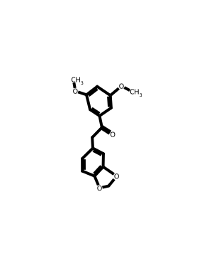 COc1cc(OC)cc(C(=O)Cc2ccc3c(c2)OCO3)c1